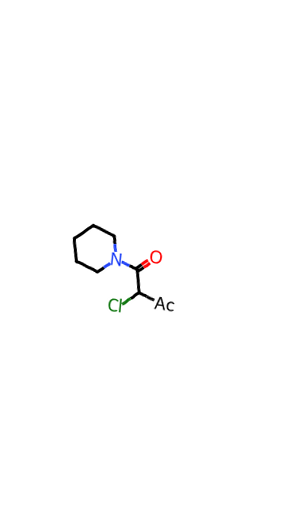 CC(=O)C(Cl)C(=O)N1CCCCC1